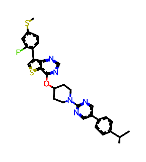 CSc1ccc(-c2csc3c(OC4CCN(c5ncc(-c6ccc(C(C)C)cc6)cn5)CC4)ncnc23)c(F)c1